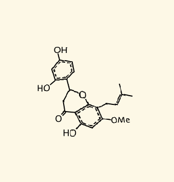 COc1cc(O)c2c(c1CC=C(C)C)OC(c1ccc(O)cc1O)CC2=O